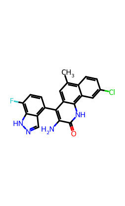 Cc1cc2c(-c3ccc(F)c4[nH]ncc34)c(N)c(=O)[nH]c2c2cc(Cl)ccc12